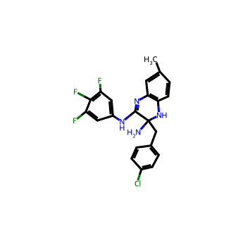 Cc1ccc2c(c1)N=C(Nc1cc(F)c(F)c(F)c1)C(N)(Cc1ccc(Cl)cc1)N2